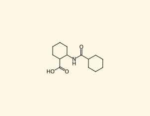 O=C(NC1CCCCC1C(=O)O)C1CCCCC1